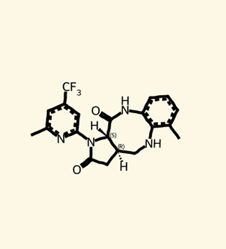 Cc1cc(C(F)(F)F)cc(N2C(=O)C[C@@H]3CNc4c(C)cccc4NC(=O)[C@H]32)n1